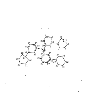 c1cc(C2CCCCC2)c[c]([Sb]([c]2cccc(C3CCCCC3)c2)[c]2cccc(C3CCCCC3)c2)c1